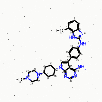 Cc1cccc2nc(Nc3ccc(-c4cn([C@H]5CC[C@H](N6CCN(C)CC6)CC5)c5ncnc(N)c45)cc3)[nH]c12